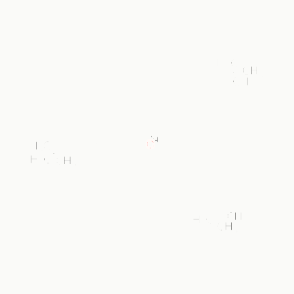 CC(C)(C)CCCCCCCCCCC[Si]([O])(CCCCCCCCCCCC(C)(C)C)CCCCCCCCCCCC(C)(C)C